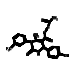 CC1=C(C(=O)OCC(N)=O)C(c2ccc(C#N)cc2)NC(=O)N1c1cccc(C(F)(F)F)c1